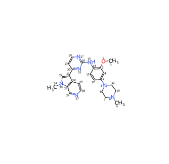 COc1cc(N2CCN(C)CC2)ccc1Nc1nccc(-c2cn(C)c3cnccc23)n1